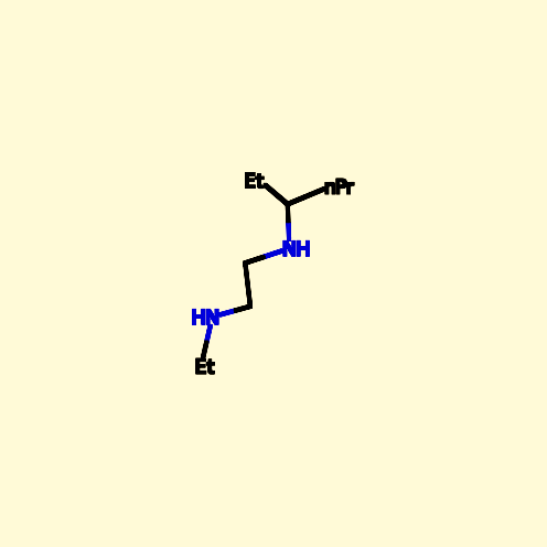 CCCC(CC)NCCNCC